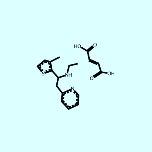 CCNC(Cc1ccccn1)c1sccc1C.O=C(O)C=CC(=O)O